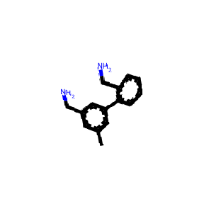 Cc1cc(CN)cc(-c2ccccc2CN)c1